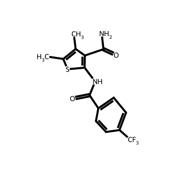 Cc1sc(NC(=O)c2ccc(C(F)(F)F)cc2)c(C(N)=O)c1C